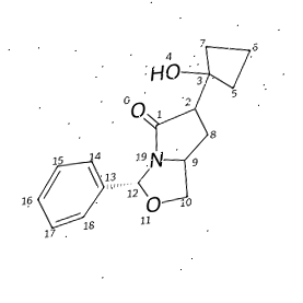 O=C1C(C2(O)CCC2)CC2CO[C@H](c3ccccc3)N12